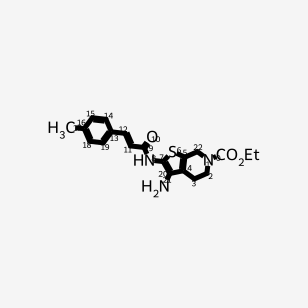 CCOC(=O)N1CCc2c(sc(NC(=O)/C=C/c3ccc(C)cc3)c2N)C1